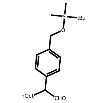 CCCCCCCCC(C=O)c1ccc(CO[Si](C)(C)C(C)(C)C)cc1